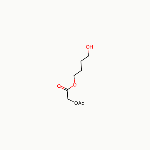 CC(=O)OCC(=O)OCCCCO